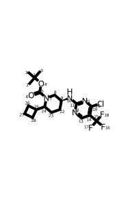 CC(C)(C)OC(=O)N1C[C@@H](Nc2ncc(C(F)(F)F)c(Cl)n2)CCC1C1CCC1